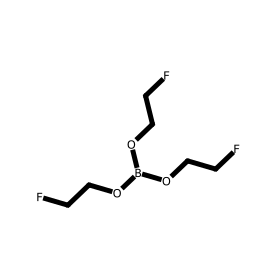 FCCOB(OCCF)OCCF